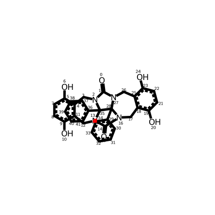 O=C1N2Cc3c(O)ccc(O)c3CN3C(=O)N4Cc5c(O)ccc(O)c5CN1C4(c1ccccc1)C23c1ccccc1